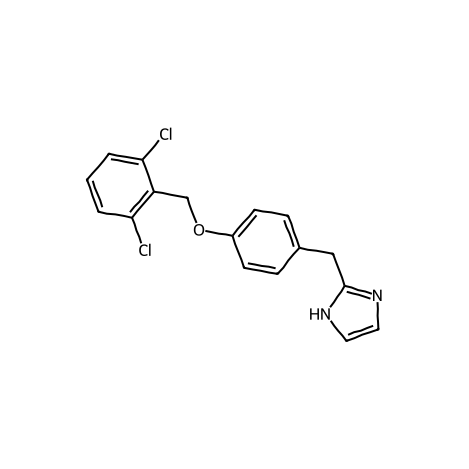 Clc1cccc(Cl)c1COc1ccc(Cc2ncc[nH]2)cc1